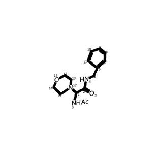 CC(=O)NC(C(=O)NCc1ccccc1)N1CCOCC1